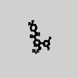 COc1ncc(C(=O)NC2CCC(F)(F)CC2)cc1-c1cc(F)cc(F)c1